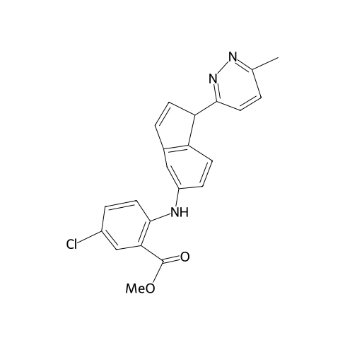 COC(=O)c1cc(Cl)ccc1Nc1ccc2c(c1)C=CC2c1ccc(C)nn1